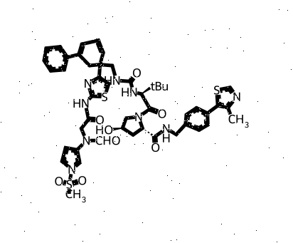 Cc1ncsc1-c1ccc(CNC(=O)[C@@H]2C[C@@H](O)CN2C(=O)[C@@H](NC(=O)NCC2(c3csc(NC(=O)CN(C=O)c4ccn(S(C)(=O)=O)c4)n3)C=CC=C(c3ccccc3)C2)C(C)(C)C)cc1